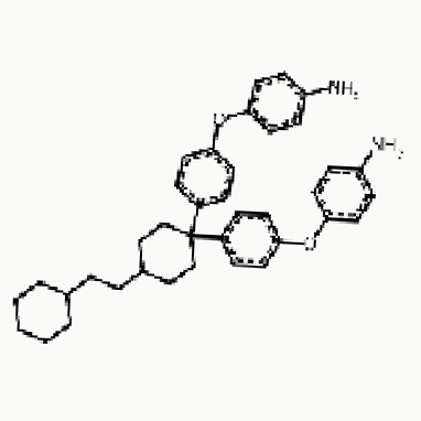 Nc1ccc(Oc2ccc(C3(c4ccc(Oc5ccc(N)cc5)cc4)CCC(CCC4CCCCC4)CC3)cc2)cc1